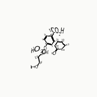 O=C(O)c1ccc(C(=O)O)cc1.O=C1CCCCC1.OCCO